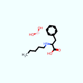 CCCCCNC(Cc1ccccc1)C(=O)O.O[B]O